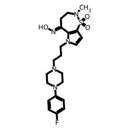 CN1CC/C(=N\O)c2c(ccn2CCCN2CCN(c3ccc(F)cc3)CC2)S1(=O)=O